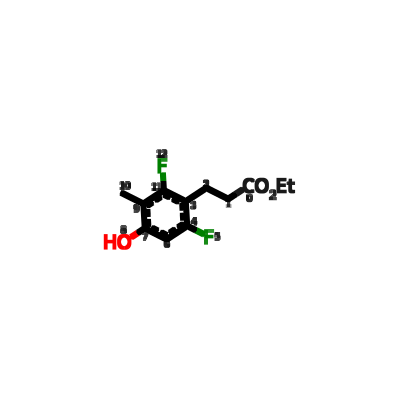 CCOC(=O)CCc1c(F)cc(O)c(C)c1F